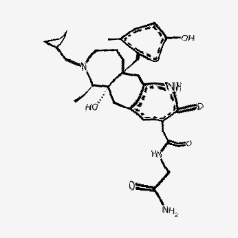 Cc1ccc(O)cc1[C@]12CCN(CC3CC3)[C@H](C)[C@]1(O)Cc1cc(C(=O)NCC(N)=O)c(=O)[nH]c1C2